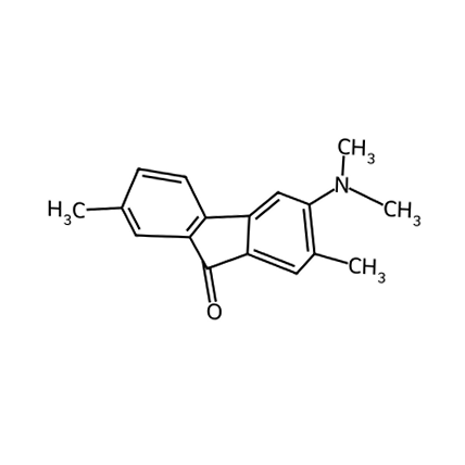 Cc1ccc2c(c1)C(=O)c1cc(C)c(N(C)C)cc1-2